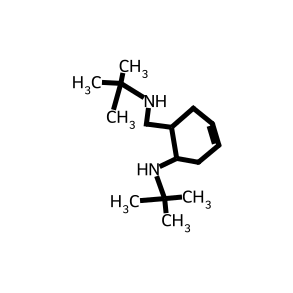 CC(C)(C)NCC1CC=CCC1NC(C)(C)C